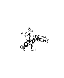 CC(C)CCN([C@@H]1CN(C(=O)OC(C)(C)C)C[C@H]1CCCO)S(=O)(=O)c1ccc([N+](=O)[O-])cc1